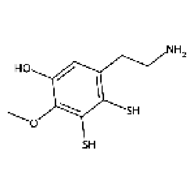 COc1c(O)cc(CCN)c(S)c1S